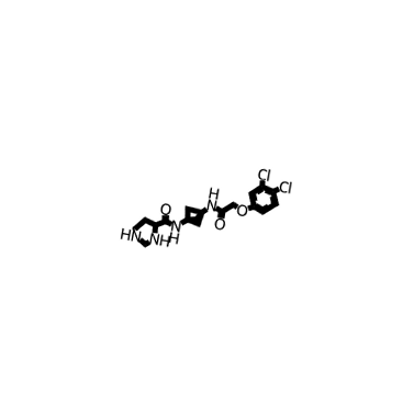 O=C(COc1ccc(Cl)c(Cl)c1)NC12CC(NC(=O)C3CCNCN3)(C1)C2